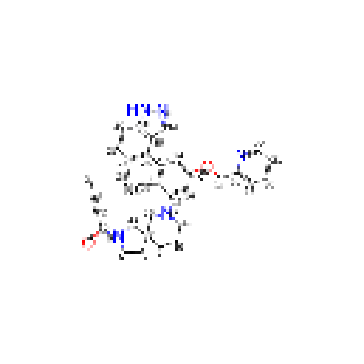 CC#CC(=O)N1CCC2(CCCN(c3cc(OCc4ccccn4)cc(-c4c(C)ccc5[nH]ncc45)c3C#N)C2)C1